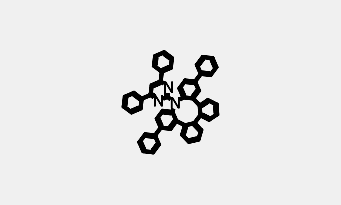 c1ccc(-c2ccc3c(c2)c2ccccc2c2ccccc2c2cc(-c4ccccc4)ccc2n3-c2nc(-c3ccccc3)cc(-c3ccccc3)n2)cc1